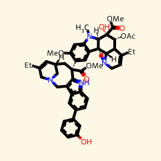 CCC1=C[C@H]2CN(C1)Cc1c([nH]c3ccc(-c4cccc(O)c4)cc13)[C@@](C(=O)OC)(c1cc3c(cc1OC)N(C)[C@H]1[C@@](O)(C(=O)OC)[C@H](OC(C)=O)C4C(CC)=CCN5CC[C@]31[C@H]45)C2